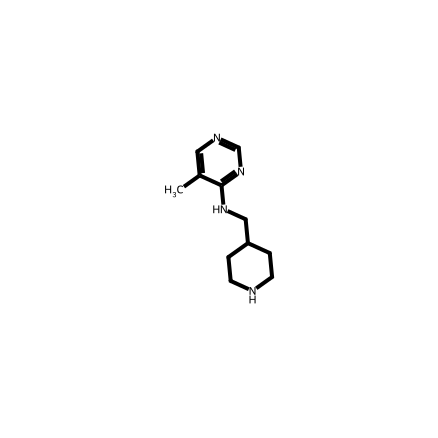 Cc1cncnc1NCC1CCNCC1